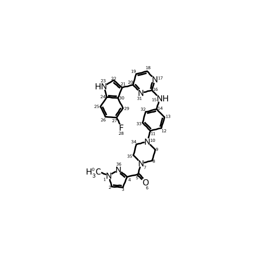 Cn1ccc(C(=O)N2CCN(c3ccc(Nc4nccc(-c5c[nH]c6ccc(F)cc56)n4)cc3)CC2)n1